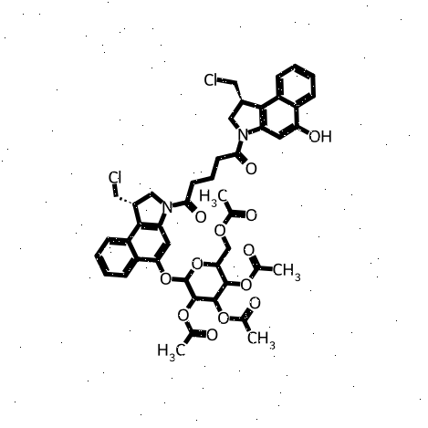 CC(=O)OCC1OC(Oc2cc3c(c4ccccc24)[C@H](CCl)CN3C(=O)CCCC(=O)N2C[C@@H](CCl)c3c2cc(O)c2ccccc32)C(OC(C)=O)C(OC(C)=O)C1OC(C)=O